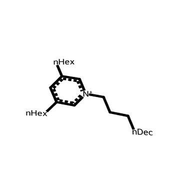 CCCCCCCCCCCCC[n+]1cc(CCCCCC)cc(CCCCCC)c1